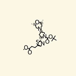 COC(=O)CCc1cnc([C@@H]2C[C@H](N3C[C@@H](C)O[C@@H](C)C3)CN2C(=O)OC(C)(C)C)s1